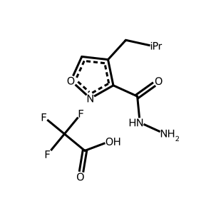 CC(C)Cc1conc1C(=O)NN.O=C(O)C(F)(F)F